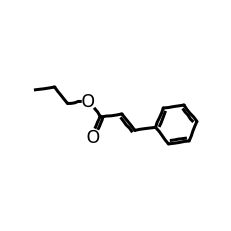 CCCOC(=O)C=Cc1ccccc1